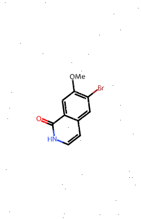 COc1cc2c(=O)[nH]ccc2cc1Br